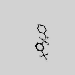 O=S(=O)(NC1CCNCC1)c1cccc(C(F)(F)F)c1